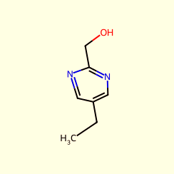 CCc1cnc(CO)nc1